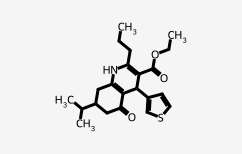 CCCC1=C(C(=O)OCC)C(c2ccsc2)C2=C(CC(C(C)C)CC2=O)N1